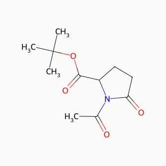 CC(=O)N1C(=O)CCC1C(=O)OC(C)(C)C